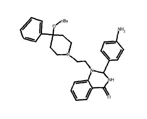 CCCCOC1(c2ccccc2)CCN(CCN2c3ccccc3C(=O)NC2c2ccc(N)cc2)CC1